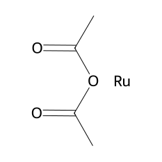 CC(=O)OC(C)=O.[Ru]